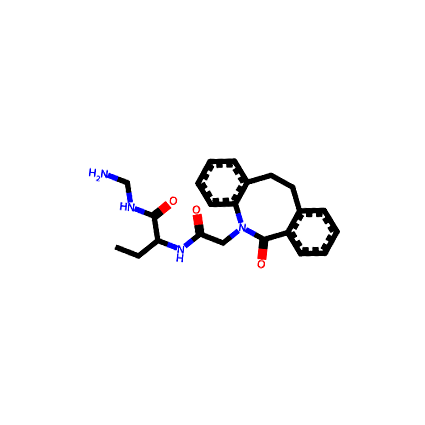 CCC(NC(=O)CN1C(=O)c2ccccc2CCc2ccccc21)C(=O)NCN